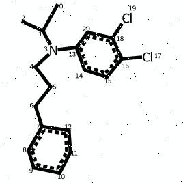 CC(C)N(CCCc1ccccc1)c1ccc(Cl)c(Cl)c1